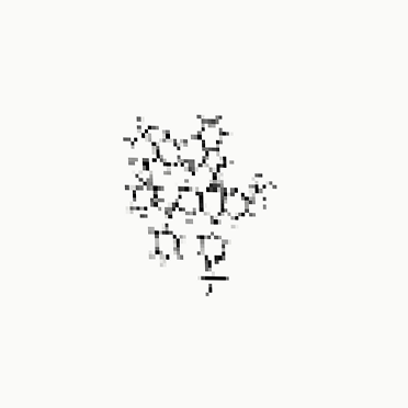 CC(C)(C)c1ccc(N2c3ccc(C(C)(C)C)cc3B3c4sc5ccccc5c4N(c4ccc5c(c4)C(C)(C)CCC5(C)C)c4cc(N(c5ccccc5)c5ccccc5)cc2c43)cc1